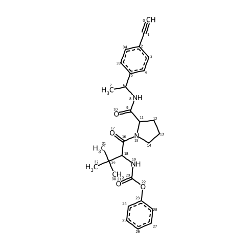 C#Cc1ccc(C(C)NC(=O)C2CCCN2C(=O)C(NC(=O)Oc2ccccc2)C(C)(C)C)cc1